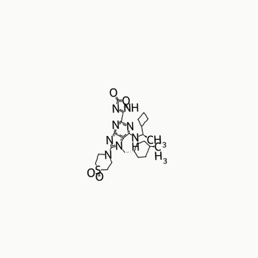 C[C@@H](Nc1nc(-c2nc(=O)o[nH]2)nc2nc(N3CCS(=O)(=O)CC3)n(C[C@H]3CC[C@H](C)CC3)c12)C1CCC1